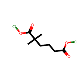 CC(C)(CCCC(=O)OCl)C(=O)OCl